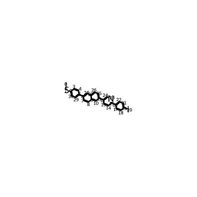 ISc1ccc(-c2ccc3cc(-c4ccc(-c5ccc(I)cc5)nc4)ccc3c2)cc1